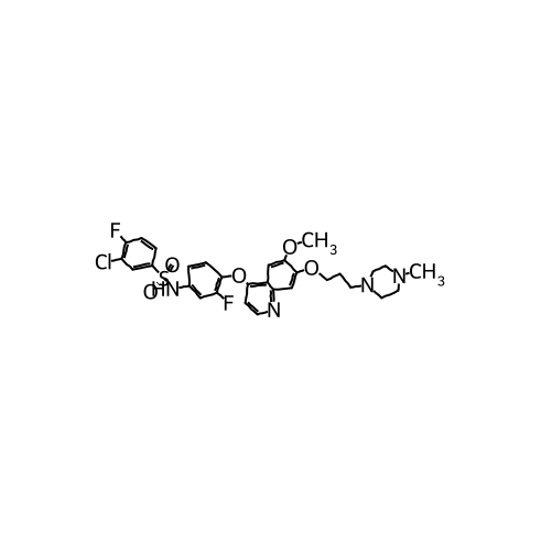 COc1cc2c(Oc3ccc(NS(=O)(=O)c4ccc(F)c(Cl)c4)cc3F)ccnc2cc1OCCCN1CCN(C)CC1